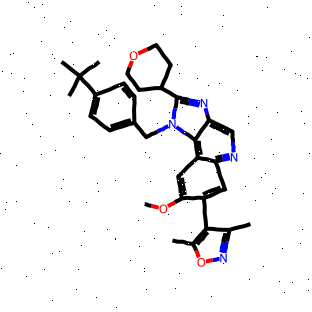 COc1cc2c(cc1-c1c(C)noc1C)ncc1nc(C3CCOCC3)n(Cc3ccc(C(C)(C)C)cc3)c12